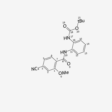 COc1cc(C#N)ccc1C(=O)Nc1ccccc1NC(=O)OC(C)(C)C